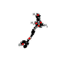 BP(=O)(OC[C@H]1O[C@@H](n2cnc3c(N)ncnc32)[C@H](F)[C@@H]1OP=O)O[C@H]1[C@@H](F)[C@H](n2cnc3c(N)ncnc32)O[C@@H]1COCSCc1ccc(COCCOCCOCCn2nnc3c2-c2ccccc2N(C(=O)CC)Cc2ccccc2-3)cc1